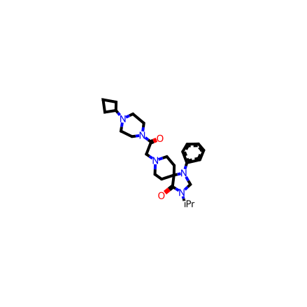 CC(C)N1CN(c2ccccc2)C2(CCN(CC(=O)N3CCN(C4CCC4)CC3)CC2)C1=O